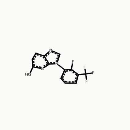 Oc1ccc2ncn(-c3cccc(C(F)(F)F)c3F)c2n1